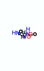 CN1CC(NC(=O)OCc2ccccc2)C[C@@H]2c3cccc4[nH]cc(c34)C[C@H]21